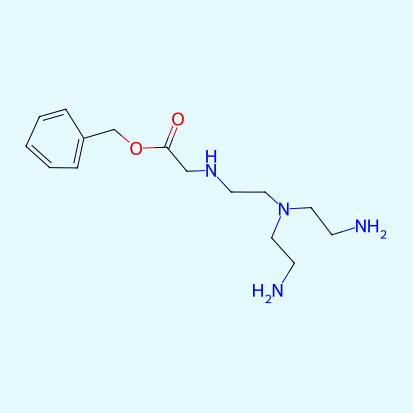 NCCN(CCN)CCNCC(=O)OCc1ccccc1